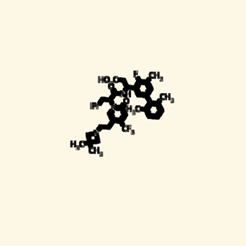 Cc1cc(-c2c(C)cccc2C)cc(C(CC(=O)O)NC(=O)C(CC(C)C)n2cc(CCN3CC(C)(C)C3)c(C(F)(F)F)cc2=O)c1F